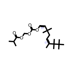 C/C(=C/CC(C)(C)/C=C\OC(=O)OCOC(=O)C(C)C)C(C)(C)C(C)(C)C